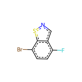 Fc1ccc(Br)c2sncc12